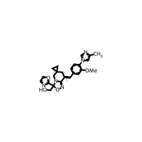 COc1cc(/C=C2\CC3(CC3)CN3C2=NOC3(CO)c2ncco2)ccc1-n1cnc(C)c1